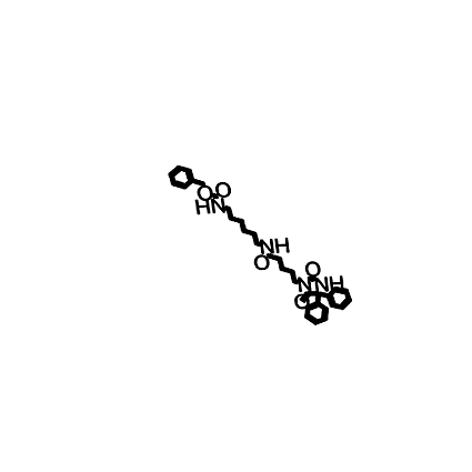 O=C(CCCCN1C(=O)NC(c2ccccc2)(c2ccccc2)C1=O)NCCCCCCNC(=O)OCc1ccccc1